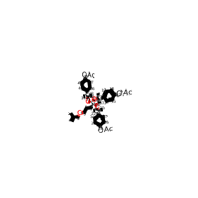 C=C(C)COCCC[Si](O[Si](C)(C)c1ccc(OC(C)=O)cc1)(O[Si](C)(C)c1ccc(OC(C)=O)cc1)O[Si](C)(C)c1ccc(OC(C)=O)cc1